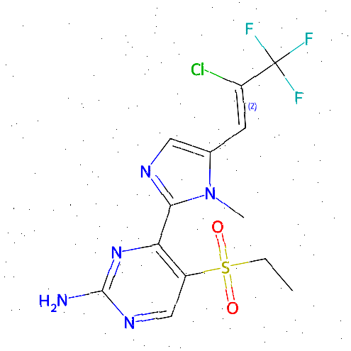 CCS(=O)(=O)c1cnc(N)nc1-c1ncc(/C=C(\Cl)C(F)(F)F)n1C